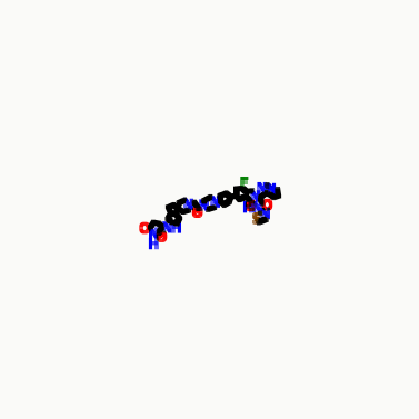 O=C1CCC(Nc2ccc3c(c2)CCC32CCN(CC(=O)N3CCN(c4ccc(-c5cc(F)c6c(c5)C(=O)N(C(C(=O)Nc5nccs5)c5ncn7c5CCC7)C6)cc4)CC3)CC2)C(=O)N1